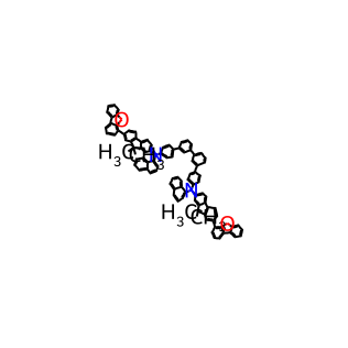 CC1(C)c2cc(-c3cccc4c3oc3ccccc34)ccc2-c2ccc(N(c3ccc(-c4cccc(-c5cccc(-c6ccc(N(c7ccc8c(c7)C(C)(C)c7cc(-c9cccc%10c9oc9ccccc9%10)ccc7-8)c7cccc8ccccc78)cc6)c5)c4)cc3)c3cccc4ccccc34)cc21